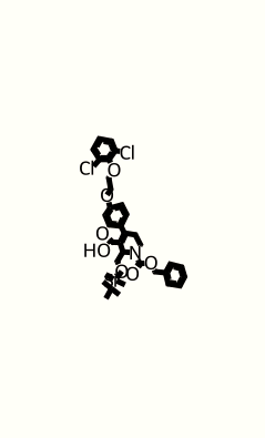 CC(C)(C)[Si](C)(C)OCC1C(C(=O)O)=C(c2ccc(OCCOc3c(Cl)cccc3Cl)cc2)CCN1C(=O)OCc1ccccc1